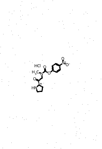 CN(CC(=O)[C@H]1CCCN1)C(=O)Oc1ccc([N+](=O)[O-])cc1.Cl